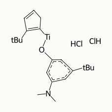 CN(C)c1cc([O][Ti][C]2=C(C(C)(C)C)C=CC2)cc(C(C)(C)C)c1.Cl.Cl